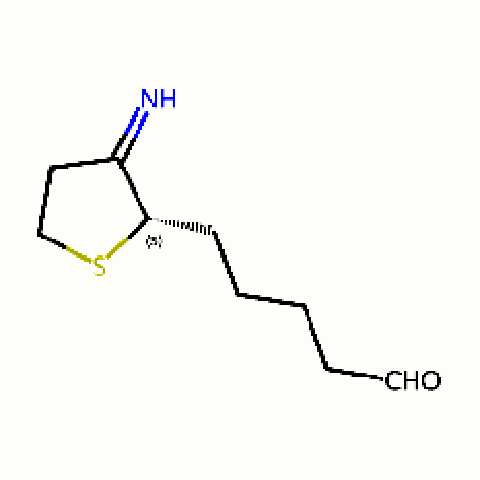 N=C1CCS[C@H]1CCCCC=O